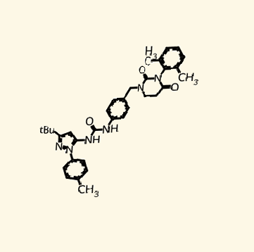 Cc1ccc(-n2nc(C(C)(C)C)cc2NC(=O)Nc2ccc(CN3CCC(=O)N(c4c(C)cccc4C)C3=O)cc2)cc1